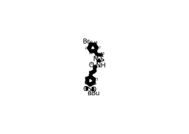 CCCCS(=O)(=O)c1ccc(/C=C/C(=O)NC2=NC(c3ccc(Br)cc3)CS2)cc1